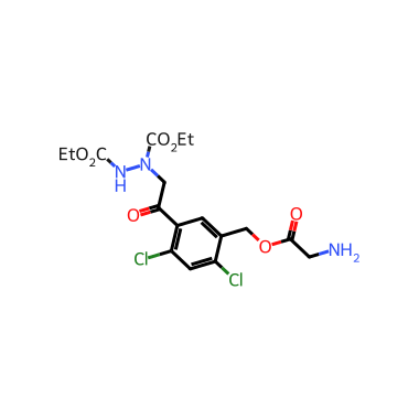 CCOC(=O)NN(CC(=O)c1cc(COC(=O)CN)c(Cl)cc1Cl)C(=O)OCC